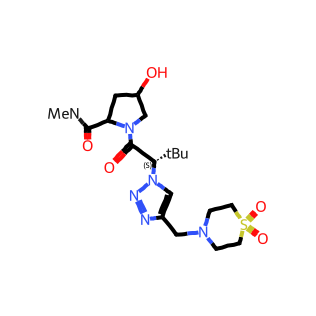 CNC(=O)C1CC(O)CN1C(=O)[C@@H](n1cc(CN2CCS(=O)(=O)CC2)nn1)C(C)(C)C